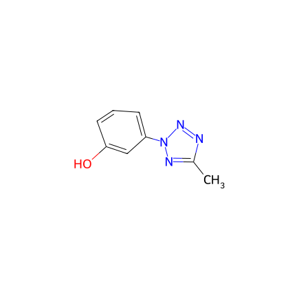 Cc1nnn(-c2cccc(O)c2)n1